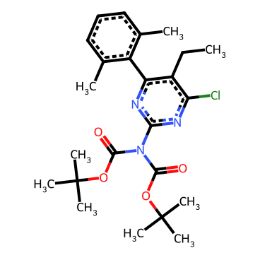 CCc1c(Cl)nc(N(C(=O)OC(C)(C)C)C(=O)OC(C)(C)C)nc1-c1c(C)cccc1C